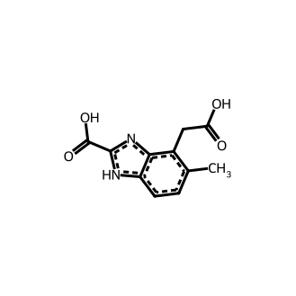 Cc1ccc2[nH]c(C(=O)O)nc2c1CC(=O)O